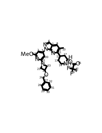 COc1cc(-n2ncc3cc(C)c(C4CCNCC4)nc32)cc(N2CC(OCc3ccccc3)C2)n1.O=C(O)C(F)(F)F